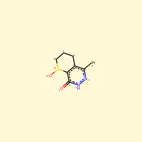 CC(C)c1n[nH]c(=O)c2c1CCC[S+]2[O-]